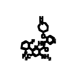 Nc1cc(C(F)(F)F)c(-c2c(F)cccc2F)nc1C(=O)Nc1cnccc1OC1CCCNCC1